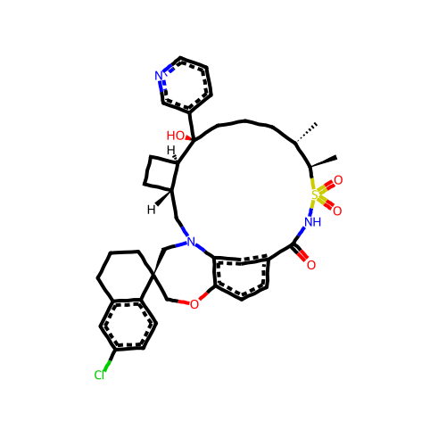 C[C@@H]1[C@@H](C)CCC[C@@](O)(c2cccnc2)[C@@H]2CC[C@H]2CN2C[C@@]3(CCCc4cc(Cl)ccc43)COc3ccc(cc32)C(=O)NS1(=O)=O